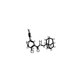 [CH2]C#Cc1cc(C(=O)NCC23CC4CC(CC(C4)C2)C3)c(Cl)cn1